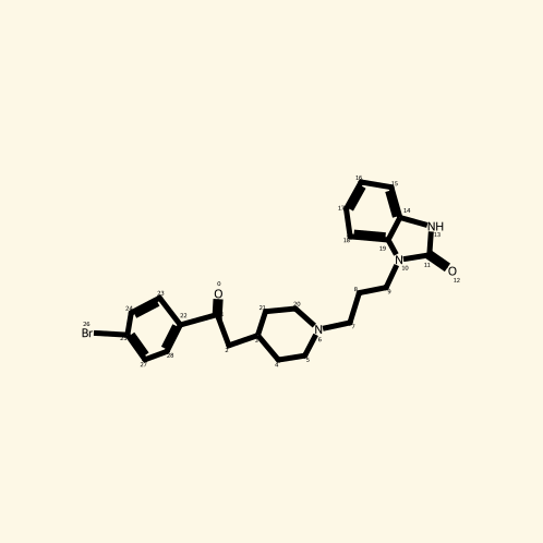 O=C(CC1CCN(CCCn2c(=O)[nH]c3ccccc32)CC1)c1ccc(Br)cc1